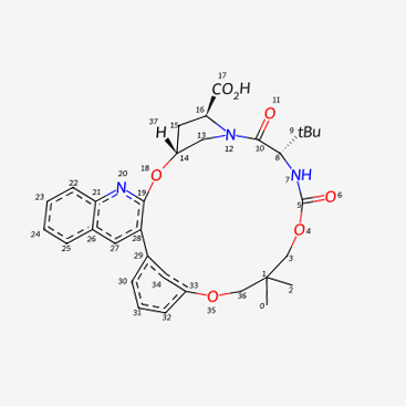 CC1(C)COC(=O)N[C@@H](C(C)(C)C)C(=O)N2C[C@@H](C[C@H]2C(=O)O)Oc2nc3ccccc3cc2-c2cccc(c2)OC1